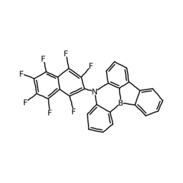 Fc1c(F)c(F)c2c(F)c(N3c4ccccc4B4c5ccccc5-c5cccc3c54)c(F)c(F)c2c1F